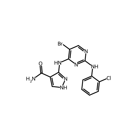 NC(=O)c1c[nH]nc1Nc1nc(Nc2ccccc2Cl)ncc1Br